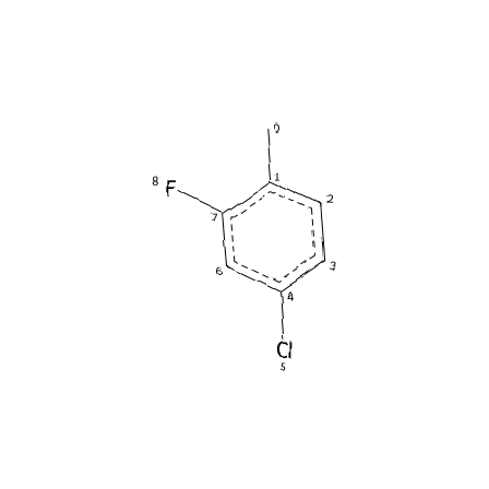 Cc1ccc(Cl)cc1F